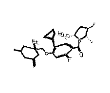 C=C1CC(C)CC(CC)(COc2cc(F)c(C(=O)N3[C@H](C(=O)O)C[C@@H](F)[C@@H]3C)cc2C2CC2)C1